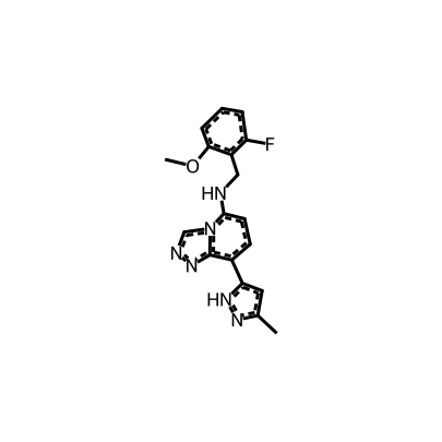 COc1cccc(F)c1CNc1ccc(-c2cc(C)n[nH]2)c2nncn12